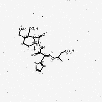 CC(=O)OCC1=C(C(=O)O)N2C(=O)[C@@H](NC(=O)C(=NOC(C)CC(=O)O)c3ccco3)[C@H]2SC1